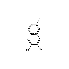 CC(=O)C(=Cc1cccc(F)c1)C(=O)C(C)C